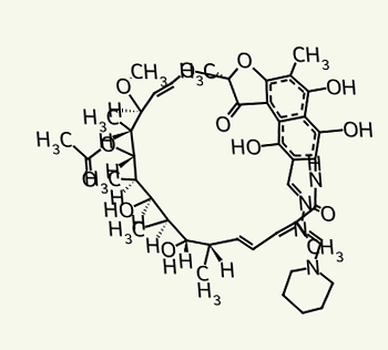 CO[C@H]1/C=C/O[C@@]2(C)Oc3c(C)c(O)c4c(O)c(c(/C=N/N=C/N5CCCCC5)c(O)c4c3C2=O)NC(=O)/C(C)=C\C=C\[C@H](C)[C@H](O)[C@@H](C)[C@@H](O)[C@@H](C)[C@H](OC(C)=O)[C@@H]1C